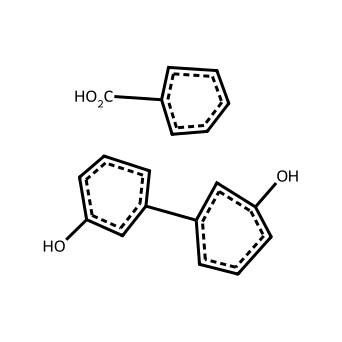 O=C(O)c1ccccc1.Oc1cccc(-c2cccc(O)c2)c1